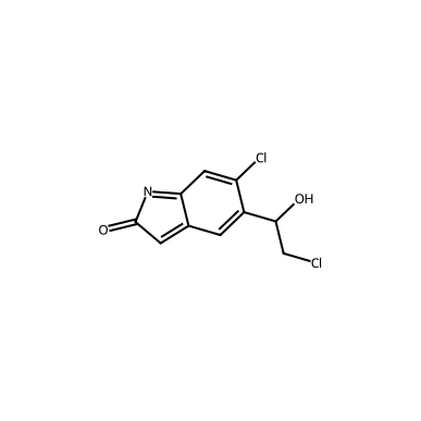 O=C1C=c2cc(C(O)CCl)c(Cl)cc2=N1